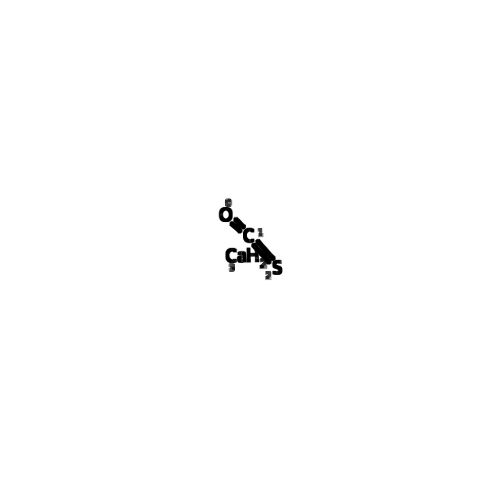 O=C=S.[CaH2]